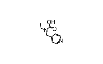 CCN(Cc1ccncc1)C(=O)O